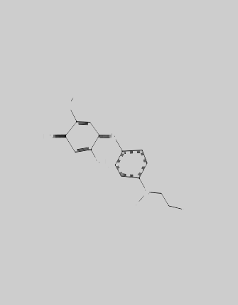 CCOC1=C/C(=N/c2ccc(N(CC)CCO)cc2)C(N)=CC1=N.Cl